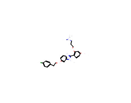 CCCCOc1ccc(-c2nc3ccc(OCCc4ccc(Cl)cc4)cc3n2CCCC)c(OCCCN(CC)CC)c1